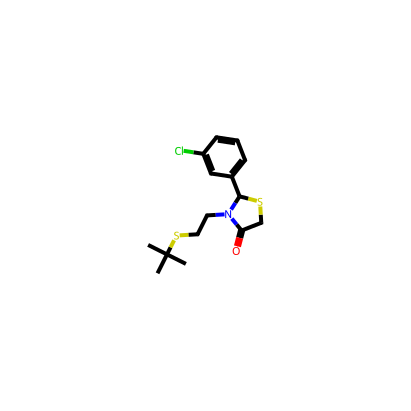 CC(C)(C)SCCN1C(=O)CSC1c1cccc(Cl)c1